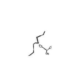 CCCCCCC.OC(Cl)Cl